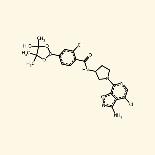 CC1(C)OB(c2ccc(C(=O)NC3CCN(c4ncc(Cl)c5c(N)noc45)C3)c(Cl)c2)OC1(C)C